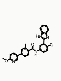 COc1ccc(-c2ccc(C(=O)Nc3ccc(Cl)c(-c4nc5ccccc5[nH]4)c3)c(C)c2)cn1